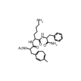 CC(=O)NC(CC1=CCC=C(C)C=C1)C(=O)NC(CCCCN)C(=O)NC(Cc1ccccc1)C(N)=O